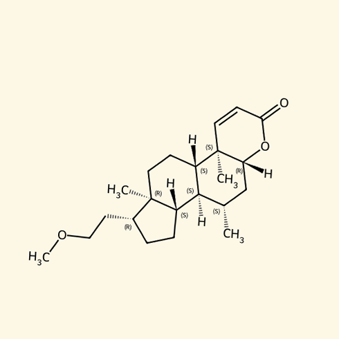 COCC[C@H]1CC[C@H]2[C@@H]3[C@@H](C)C[C@H]4OC(=O)C=C[C@]4(C)[C@H]3CC[C@]12C